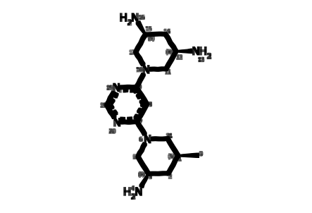 C[C@H]1C[C@@H](N)CN(c2cc(N3C[C@H](N)C[C@H](N)C3)ncn2)C1